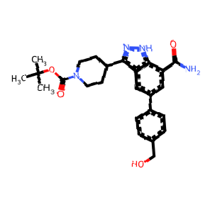 CC(C)(C)OC(=O)N1CCC(c2n[nH]c3c(C(N)=O)cc(-c4ccc(CO)cc4)cc23)CC1